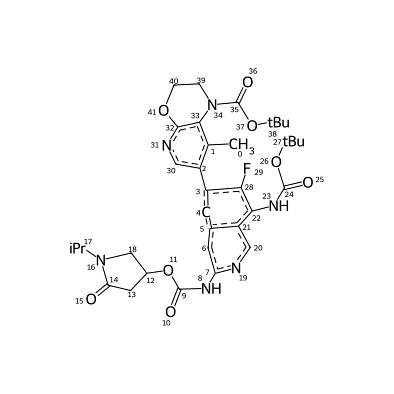 Cc1c(-c2cc3cc(NC(=O)OC4CC(=O)N(C(C)C)C4)ncc3c(NC(=O)OC(C)(C)C)c2F)cnc2c1N(C(=O)OC(C)(C)C)CCO2